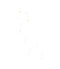 CC1CCC(COC(=O)C2CC(C)(C)N(C)C2(C)C)CC1